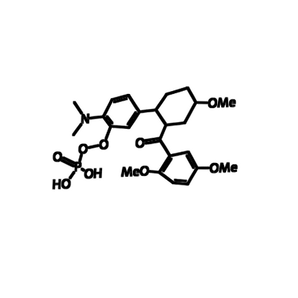 COc1ccc(OC)c(C(=O)C2CC(OC)CCC2c2ccc(N(C)C)c(OOP(=O)(O)O)c2)c1